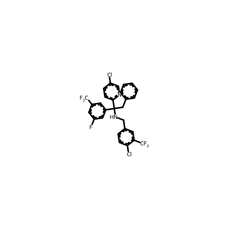 Fc1cc(C(F)(F)F)cc(C(Cc2ccccc2)(NCc2ccc(Cl)c(C(F)(F)F)c2)c2ccc(Cl)cn2)c1